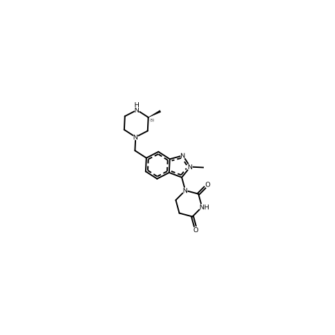 C[C@H]1CN(Cc2ccc3c(N4CCC(=O)NC4=O)n(C)nc3c2)CCN1